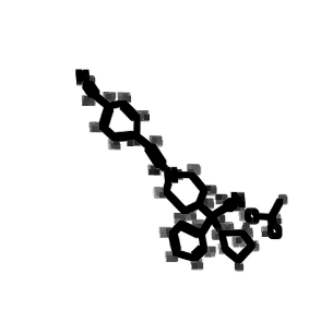 CC(=O)O[C@@H]1CCC[C@H]1C(C#N)(c1ccccc1)C1CCN(C#Cc2ccc(C#N)cc2)CC1